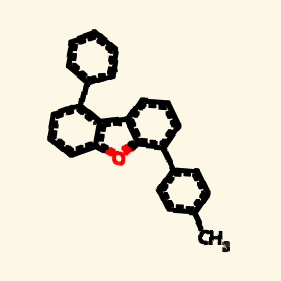 Cc1ccc(-c2cccc3c2oc2cccc(-c4ccccc4)c23)cc1